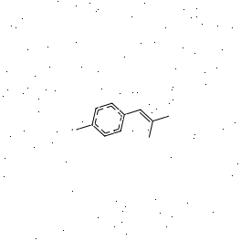 [CH2]c1ccc(C=C(C)C)cc1